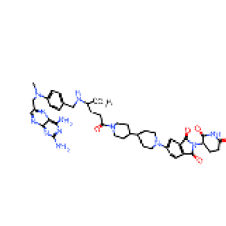 CN(Cc1cnc2nc(N)nc(N)c2n1)c1ccc(CNC(CCC(=O)N2CCC(C3CCN(c4ccc5c(c4)C(=O)N(C4CCC(=O)NC4=O)C5=O)CC3)CC2)C(=O)O)cc1